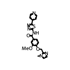 COc1cc(C(=O)Nc2nnc(-c3ccncc3)s2)ccc1OCc1nccn1C